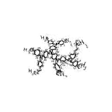 Bc1ccc(N(c2ccc(B)cc2)c2ccc(N(c3ccc(N(c4ccc(B)cc4)c4ccc(CCCC)cc4)cc3)c3ccc(N(c4ccc(C)cc4)c4ccc(N(c5ccc(C)cc5)c5ccc(CCCC)cc5)cc4)cc3)cc2)cc1